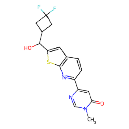 Cn1cnc(-c2ccc3cc(C(O)C4CC(F)(F)C4)sc3n2)cc1=O